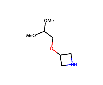 COC(COC1CNC1)OC